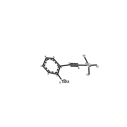 CC(C)(C)c1ccccc1C#C[Si](C)(C)C